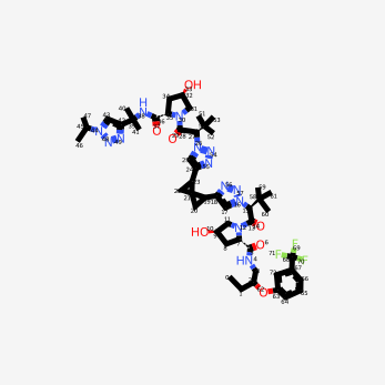 CCC(CNC(=O)[C@@H]1C[C@@H](O)CN1C(=O)[C@@H](n1cc(C2CC23CC3c2cn([C@H](C(=O)N3C[C@H](O)C[C@H]3C(=O)NC(C)(C)c3cn(C(C)C)nn3)C(C)(C)C)nn2)nn1)C(C)(C)C)Oc1cccc(C(F)(F)F)c1